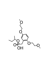 CCC(C)OP(=O)(O)Cc1cc(OCCOC)ccc1OCCOC